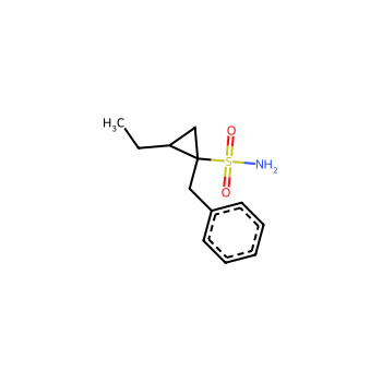 CCC1CC1(Cc1ccccc1)S(N)(=O)=O